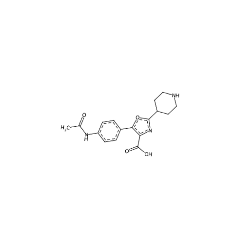 CC(=O)Nc1ccc(-c2oc(C3CCNCC3)nc2C(=O)O)cc1